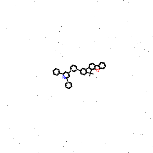 CC1(C)c2ccc(-c3cccc(-c4cc(-c5ccccc5)nc(-c5ccccc5)c4)c3)cc2-c2ccc3c(oc4ccccc43)c21